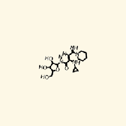 N=C(c1nnn(C2OC(CO)C(O)C2O)c(=O)c1NC1CC1)N1CCCCC1